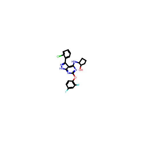 OC1CCCC1Nc1nc(Oc2ccc(F)cc2F)nc2[nH]nc(-c3ccccc3Cl)c12